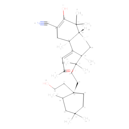 CC(=O)/C=C1/[C@@]2(C)CC(C#N)=C(O)C(C)(C)[C@@H]2CC[C@@]1(C)C(C)(C)CC[C@@]1(CCO)CCC(C)(C)CC1C